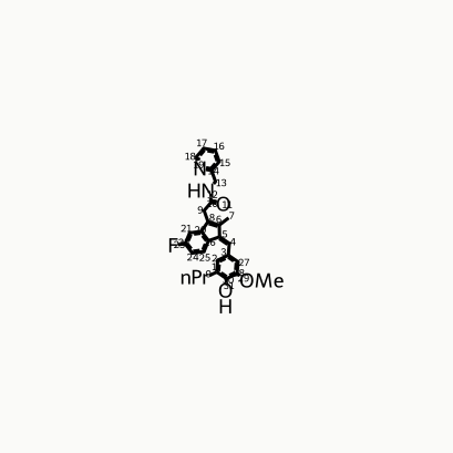 CCCc1cc(/C=C2/C(C)=C(CC(=O)NCc3ccccn3)c3cc(F)ccc32)cc(OC)c1O